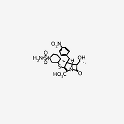 C[C@@H](O)[C@H]1C(=O)N2C(C(=O)O)=C(SC3CCCN(S(N)(=O)=O)C3)[C@](C)(Cc3ccc([N+](=O)[O-])cc3)[C@H]12